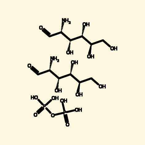 N[C@@H](C=O)[C@@H](O)[C@H](O)[C@H](O)CO.N[C@@H](C=O)[C@@H](O)[C@H](O)[C@H](O)CO.O=P(O)(O)OP(=O)(O)O